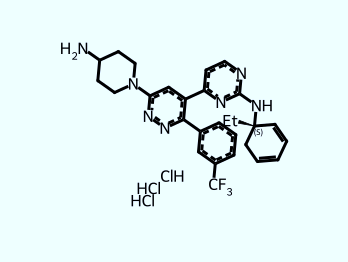 CC[C@@]1(Nc2nccc(-c3cc(N4CCC(N)CC4)nnc3-c3cccc(C(F)(F)F)c3)n2)C=CC=CC1.Cl.Cl.Cl